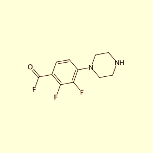 O=C(F)c1ccc(N2CCNCC2)c(F)c1F